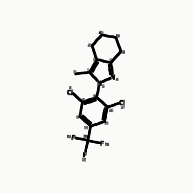 Cc1c2c(nn1-c1c(Cl)cc(C(F)(F)F)cc1Cl)CCCC2